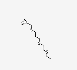 CCSCCSCCCSCC1CS1